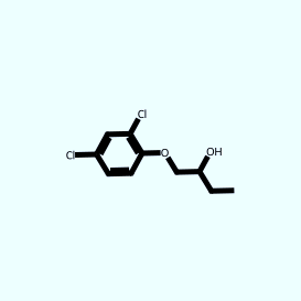 CCC(O)COc1ccc(Cl)cc1Cl